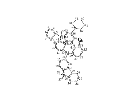 CC1(C)c2ccccc2-c2ccc(N(c3ccc4c(c3)-c3ccccc3S4(C)C)c3cccc4oc5c(C6CCCCC6)cccc5c34)cc21